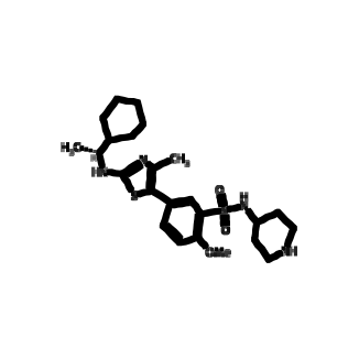 COc1ccc(-c2sc(N[C@H](C)C3CCCCC3)nc2C)cc1S(=O)(=O)NC1CCNCC1